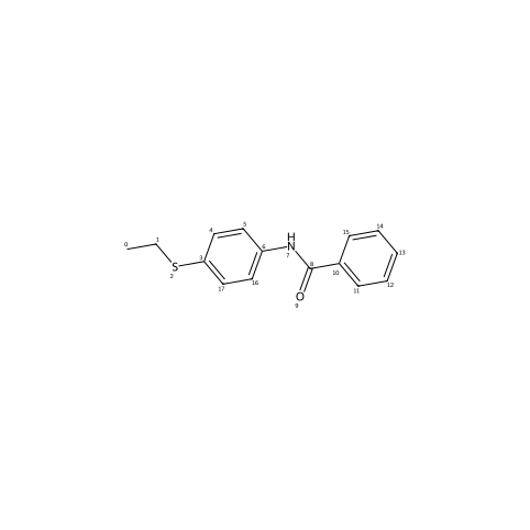 CCSc1ccc(NC(=O)c2ccccc2)cc1